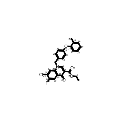 CCOC(=O)c1cn(Cc2ccc(Oc3ccccc3C)cc2)c2cc(Cl)c(F)cc2c1=O